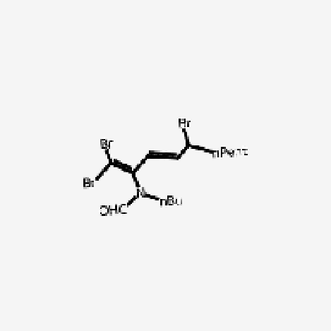 CCCCCC(Br)/C=C/C(=C(Br)Br)N(C=O)CCCC